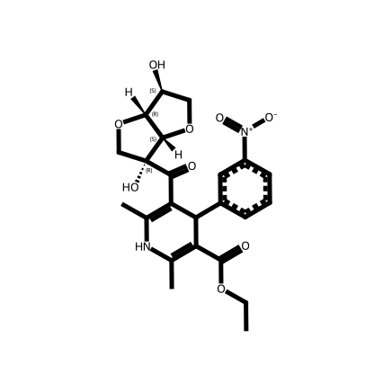 CCOC(=O)C1=C(C)NC(C)=C(C(=O)[C@@]2(O)CO[C@@H]3[C@@H](O)CO[C@@H]32)C1c1cccc([N+](=O)[O-])c1